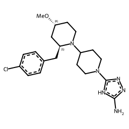 CO[C@@H]1CCN(C2CCN(c3nnc(N)[nH]3)CC2)[C@@H](Cc2ccc(Cl)cc2)C1